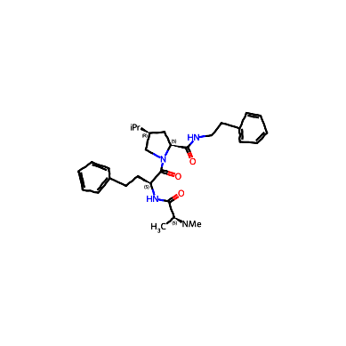 CN[C@@H](C)C(=O)N[C@@H](CCc1ccccc1)C(=O)N1C[C@@H](C(C)C)C[C@H]1C(=O)NCCc1ccccc1